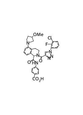 COC1CCN(c2cccc3c2CCN(C(=O)c2cn(-c4cccc(Cl)c4F)nn2)C3C(=O)Nc2ccc(C(=O)O)cc2)C1